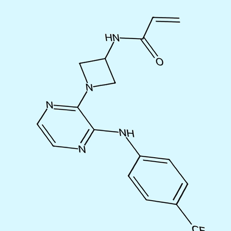 C=CC(=O)NC1CN(c2nccnc2Nc2ccc(C(F)(F)F)cc2)C1